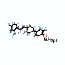 CCCCCCCOc1ccc(C2CCC(/C=C/c3ccc(C)c(F)c3F)CC2)c(F)c1F